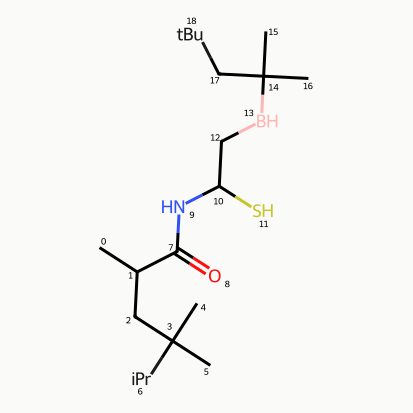 CC(CC(C)(C)C(C)C)C(=O)NC(S)CBC(C)(C)CC(C)(C)C